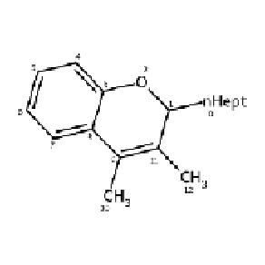 CCCCCCCC1Oc2ccccc2C(C)=C1C